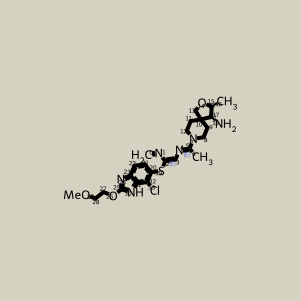 C=N/C(=C\N=C(/C)N1CCC2(CC1)CO[C@@H](C)[C@H]2N)Sc1ccc2nc(OCCOC)[nH]c2c1Cl